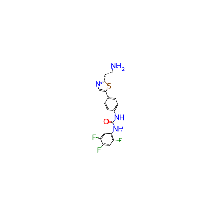 NCCc1ncc(-c2ccc(NC(=O)Nc3cc(F)c(F)cc3F)cc2)s1